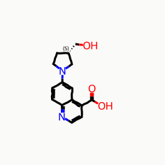 O=C(O)c1ccnc2ccc(N3CC[C@H](CO)C3)cc12